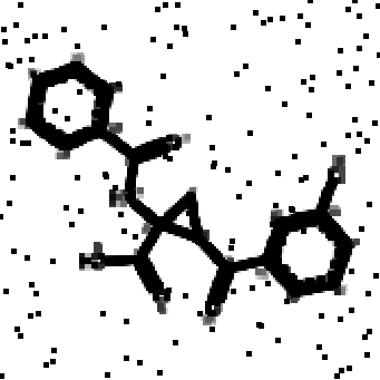 O=C(NC1(C(=O)O)CC1C(=O)c1cccc(Cl)c1)c1ccccc1